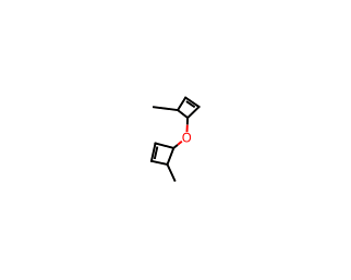 CC1C=CC1OC1C=CC1C